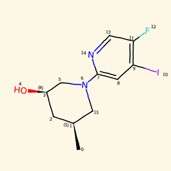 C[C@H]1C[C@@H](O)CN(c2cc(I)c(F)cn2)C1